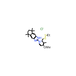 CCSSCc1c(C)c(OC)cc[n+]1-c1nc2cc3c(cc2[nH]1)C(C)(C)CCC3(C)C.[Cl-]